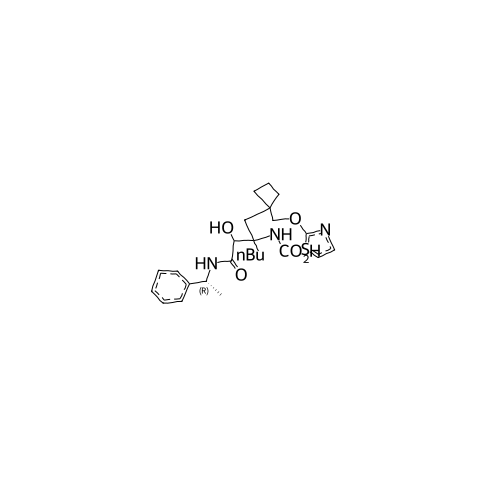 CCCCC(CC1(COc2nccs2)CCC1)(NC(=O)O)C(O)C(=O)N[C@H](C)c1ccccc1